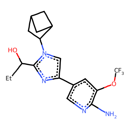 CCC(O)c1nc(-c2cnc(N)c(OC(F)(F)F)c2)cn1C1CC2CC1C2